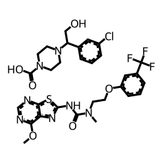 COc1ncnc2sc(NC(=O)N(C)CCOc3cccc(C(F)(F)F)c3)nc12.O=C(O)N1CCN(C(CO)c2cccc(Cl)c2)CC1